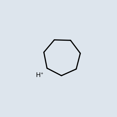 C1CCCCCC1.[H+]